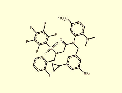 CN(C)c1ccc(C(=O)O)cc1N(Cc1cc(C2CC2)cc(C(C)(C)C)c1)C(=O)CN(Cc1ccccc1F)S(=O)(=O)c1c(F)c(F)c(F)c(F)c1F